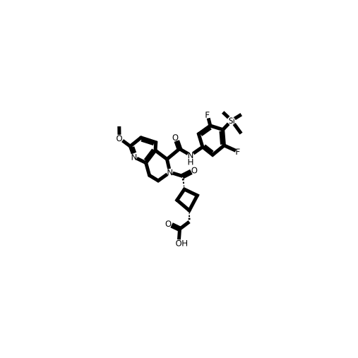 COc1ccc2c(n1)CCN(C(=O)[C@H]1C[C@@H](CC(=O)O)C1)C2C(=O)Nc1cc(F)c([Si](C)(C)C)c(F)c1